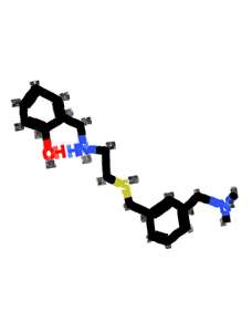 CN(C)Cc1cccc(CSCCNCc2ccccc2O)c1